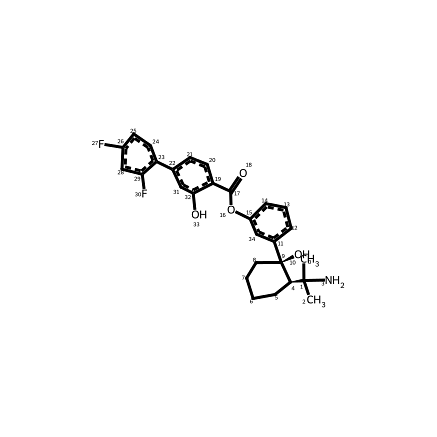 CC(C)(N)[C@H]1CCCC[C@]1(O)c1cccc(OC(=O)c2ccc(-c3ccc(F)cc3F)cc2O)c1